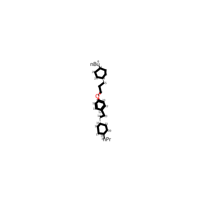 CCCC[C@H]1CC[C@H](CCCOc2ccc(CC[C@H]3CC[C@H](CCC)CC3)cc2)CC1